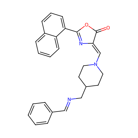 O=C1OC(c2cccc3ccccc23)=N/C1=C\N1CCC(C/N=C/c2ccccc2)CC1